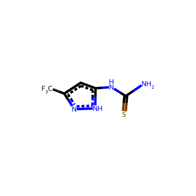 NC(=S)Nc1cc(C(F)(F)F)n[nH]1